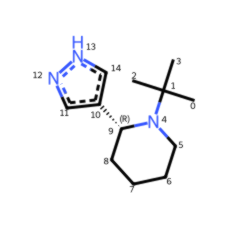 CC(C)(C)N1CCCC[C@@H]1c1cn[nH]c1